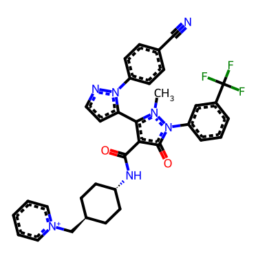 Cn1c(-c2ccnn2-c2ccc(C#N)cc2)c(C(=O)N[C@H]2CC[C@H](C[n+]3ccccc3)CC2)c(=O)n1-c1cccc(C(F)(F)F)c1